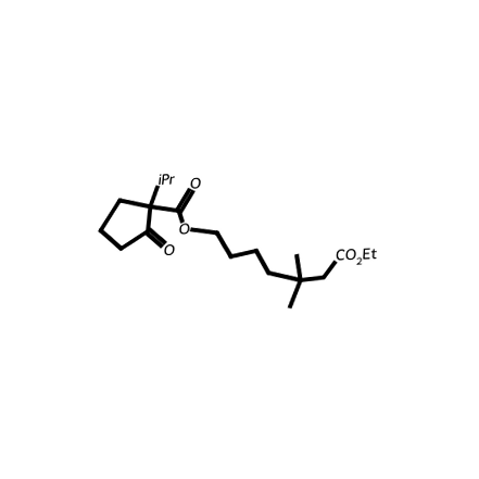 CCOC(=O)CC(C)(C)CCCCOC(=O)C1(C(C)C)CCCC1=O